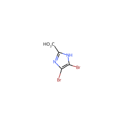 O=C(O)c1nc(Br)c(Br)[nH]1